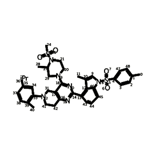 Cc1ccc(S(=O)(=O)n2cc(C)c3c(-c4nc5c(c(N6CCN(S(C)(=O)=O)C(C)C6)n4)CN(c4cc(C(C)C)ccc4C)CC5)cccc32)cc1